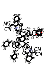 N#CC(C#N)=C1/C(=N/c2nc3c(s2)-c2cc4c(cc2C(C(=O)OCc2ccccc2)(C(=O)OCc2ccccc2)O3)-c2sc(/N=C3\C(=O)c5ccccc5C3=C(C#N)C#N)nc2OC4(C(=O)OCc2ccccc2)C(=O)OCc2ccccc2)C(=O)c2ccccc21